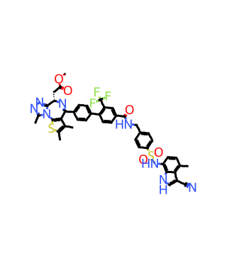 COC(=O)C[C@@H]1N=C(c2ccc(-c3ccc(C(=O)NCc4ccc(S(=O)(=O)Nc5ccc(C)c6c(C#N)c[nH]c56)cc4)cc3C(F)(F)F)cc2)c2c(sc(C)c2C)-n2c(C)nnc21